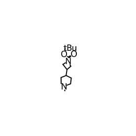 CN1CCC(C2CN(C(=O)OC(C)(C)C)C2)CC1